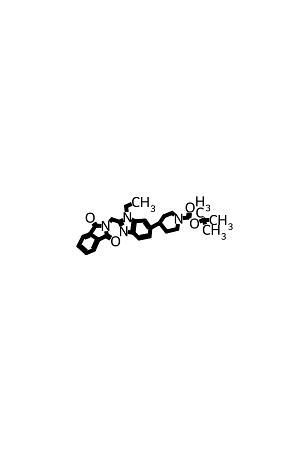 CCn1c(CN2C(=O)c3ccccc3C2=O)nc2ccc(C3CCN(C(=O)OC(C)(C)C)CC3)cc21